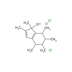 CC1=CC2=C(C(C)C(C)C(C)C2C)[C]1(C)[Ti+3].[Cl-].[Cl-].[Cl-]